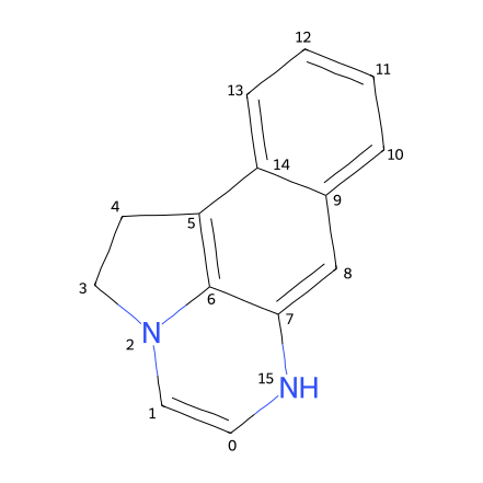 C1=CN2CCc3c2c(cc2ccccc32)N1